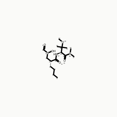 CCCC[C@H](CN(O)C=O)C(=O)N[C@H](C(=O)N(C)C)C(C)(C)OC